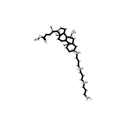 CC(C)OC(=O)CC[C@@H](C)[C@H]1CCC2C3C(CC[C@@]21C)[C@@]1(C)CC[C@H](NCCCNCCCNCCCN)CC1C[C@@H]3O